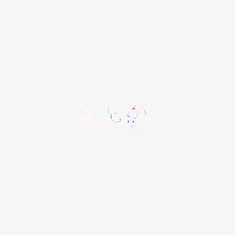 CCOC(=O)c1cn2c(cc1=O)-c1cc(Cl)c(OCCCOC(C)(C)C)cc1CN2C(C)(C)C